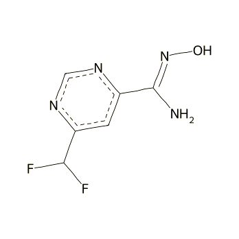 NC(=NO)c1cc(C(F)F)ncn1